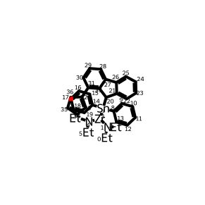 CC[N](CC)[Zr]([N](CC)CC)[Sn]([c]1ccccc1)([c]1ccccc1)[CH]1c2ccccc2-c2cccc(C3=CC=CC3)c21